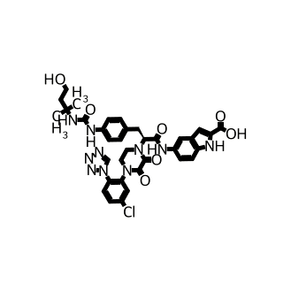 CC(C)(CCO)NC(=O)Nc1ccc(C[C@@H](C(=O)Nc2ccc3[nH]c(C(=O)O)cc3c2)N2CCN(c3cc(Cl)ccc3-n3cnnn3)C(=O)C2=O)cc1